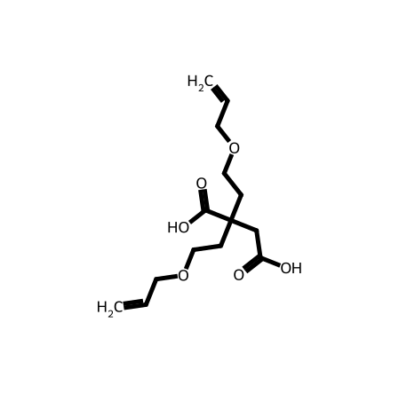 C=CCOCCC(CCOCC=C)(CC(=O)O)C(=O)O